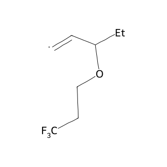 [CH]=CC(CC)OCCC(F)(F)F